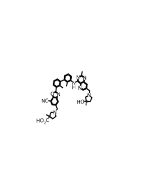 Cc1nc(Nc2cccc(-c3cccc(-c4nc5cc(CN6CC[C@@](C)(C(=O)O)C6)cc(C#N)c5o4)c3C)c2C)c2ncc(CN3CC[C@](C)(O)C3)cc2n1